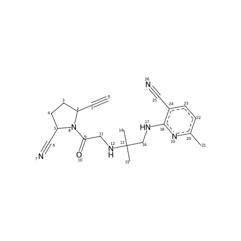 C#CC1CCC(C#N)N1C(=O)CNC(C)(C)CNc1nc(C)ccc1C#N